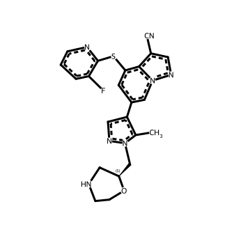 Cc1c(-c2cc(Sc3ncccc3F)c3c(C#N)cnn3c2)cnn1C[C@@H]1CNCCO1